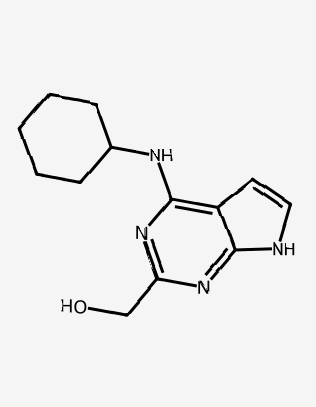 OCc1nc(NC2CCCCC2)c2cc[nH]c2n1